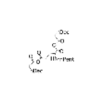 CCCCCCCCCCCC(=O)OC(=O)CCC(NCCCCC)C(=O)OC(=O)CCCCCCCCCCC